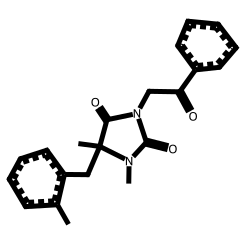 Cc1ccccc1CC1(C)C(=O)N(CC(=O)c2ccccc2)C(=O)N1C